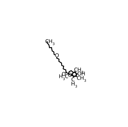 CCCCCCCCOCCCCCCCCC(=O)C1(C)CCc2c(C)c(O)c(C)c(C)c2O1